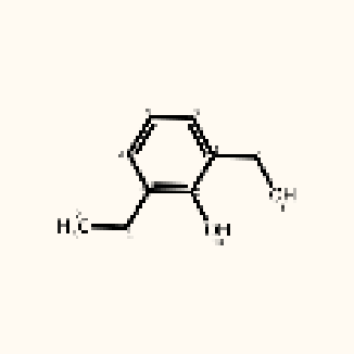 CCc1cccc(CO)c1O